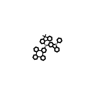 CC1(C)c2ccccc2-c2c(N(c3ccc4c(c3)-c3ccccc3-c3ccccc3-c3ccccc3-4)c3ccc4c(c3)c3ccccc3n4-c3ccccc3)cccc21